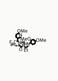 CC[C@@H](CNc1ccc(OC)cc1OC)NC(=O)[C@H](CC(C)C)N[C@@H](c1ccc(OC)nc1)C(F)(F)F